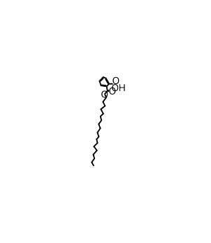 CCCCCCCCCCCCCCCCCCCOC(=O)c1ccccc1C(=O)O